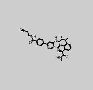 CNC(=O)c1ncnc2c(C(C)[C@H](C)CNc3cc(-c4ccc(C(=O)NCCC#N)cc4)ncn3)cccc12